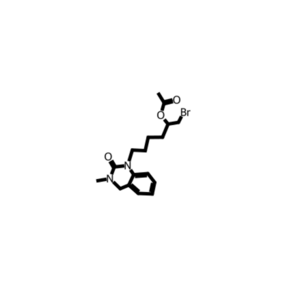 CC(=O)OC(CBr)CCCCN1C(=O)N(C)Cc2ccccc21